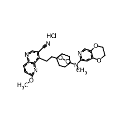 COc1ccc2ncc(C#N)c(CCC34CCC(N(C)c5cc6c(cn5)OCCO6)(CC3)CO4)c2n1.Cl